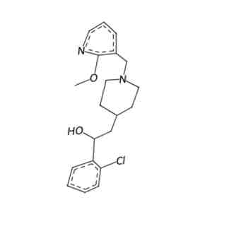 COc1ncccc1CN1CCC(CC(O)c2ccccc2Cl)CC1